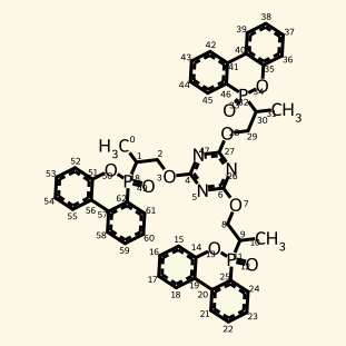 CC(COc1nc(OCC(C)P2(=O)Oc3ccccc3-c3ccccc32)nc(OCC(C)P2(=O)Oc3ccccc3-c3ccccc32)n1)P1(=O)Oc2ccccc2-c2ccccc21